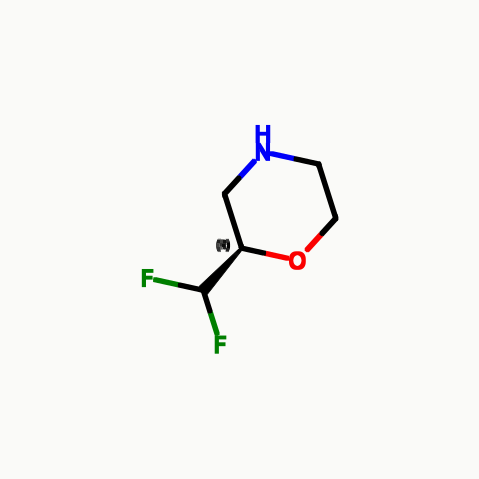 FC(F)[C@H]1CNCCO1